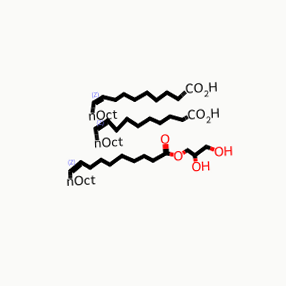 CCCCCCCC/C=C\CCCCCCCC(=O)O.CCCCCCCC/C=C\CCCCCCCC(=O)O.CCCCCCCC/C=C\CCCCCCCC(=O)OCC(O)CO